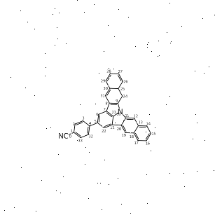 N#Cc1ccc(-c2cc3c4c(n5c6cc7ccccc7cc6c(c2)c35)CC2C=CC=CC2=C4)cc1